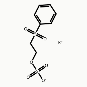 O=S(=O)([O-])OCCS(=O)(=O)c1ccccc1.[K+]